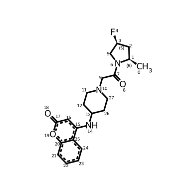 C[C@@H]1C[C@H](F)CN1C(=O)CN1CCC(Nc2cc(=O)oc3ccccc23)CC1